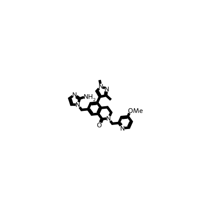 COc1ccnc(CN2CCc3c(cc(Cn4ccnc4N)cc3-c3cn(C)nc3C)C2=O)c1